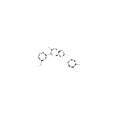 Cc1ccc(Oc2nc3nc(-c4cccc(CO)c4)c(Cl)cc3[nH]2)cc1C(=O)O